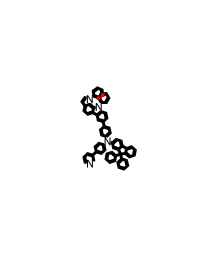 c1ccc(-n2ccc3ccc4c5cc(-c6ccc(N(c7ccc(-c8cccnc8)cc7)c7ccc8c(c7)C(c7ccccc7)(c7ccccc7)c7ccccc7-8)cc6)ccc5n(-c5ccccc5)c4c32)cc1